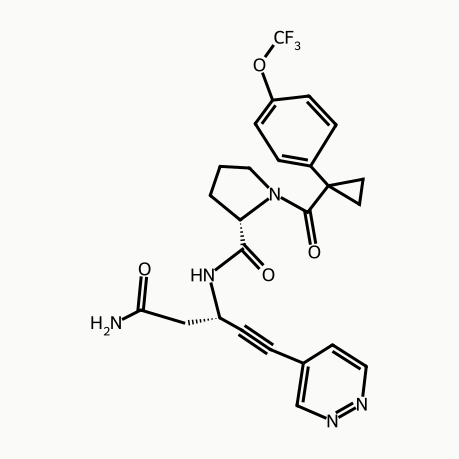 NC(=O)C[C@@H](C#Cc1ccnnc1)NC(=O)[C@@H]1CCCN1C(=O)C1(c2ccc(OC(F)(F)F)cc2)CC1